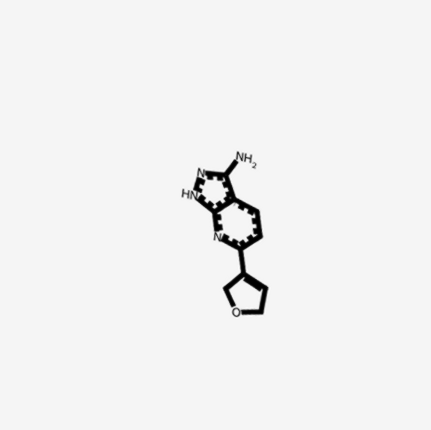 Nc1n[nH]c2nc(C3=CCOC3)ccc12